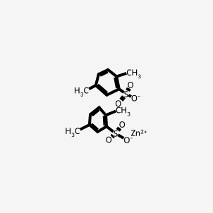 Cc1ccc(C)c(S(=O)(=O)[O-])c1.Cc1ccc(C)c(S(=O)(=O)[O-])c1.[Zn+2]